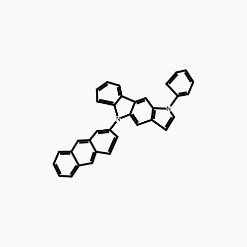 c1ccc(-n2ccc3cc4c(cc32)c2ccccc2n4-c2ccc3cc4ccccc4cc3c2)cc1